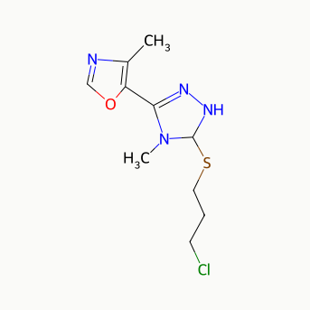 Cc1ncoc1C1=NNC(SCCCCl)N1C